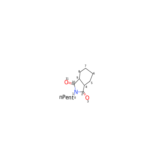 [CH2]CCCCN1C(=O)C2CCCCC2C1=O